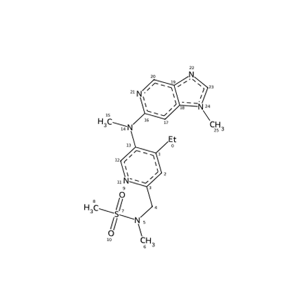 CCc1cc(CN(C)S(C)(=O)=O)ncc1N(C)c1cc2c(cn1)ncn2C